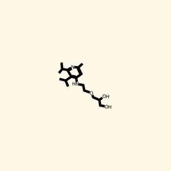 Cc1cc(NCCOCC(O)CO)c(C(C)C)c(C(C)C)n1